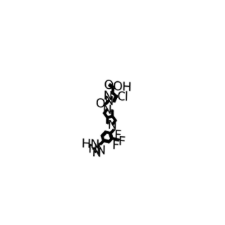 O=C(O)c1nn(C(=O)N2CC3CN(Cc4ccc(-c5nnn[nH]5)cc4C(F)(F)F)CC3C2)cc1Cl